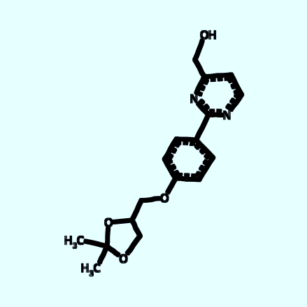 CC1(C)OCC(COc2ccc(-c3nccc(CO)n3)cc2)O1